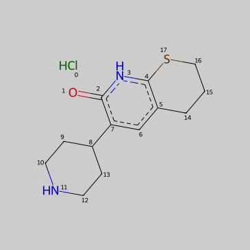 Cl.O=c1[nH]c2c(cc1C1CCNCC1)CCCS2